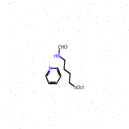 CCCCCCCCCCCCNC=O.c1ccncc1